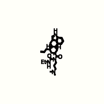 C=CCC1C[C@H](C(=O)N(CCCN(C)C)C(=O)NCC)C[C@@H]2c3cccc4[nH]cc(c34)C[C@@H]12